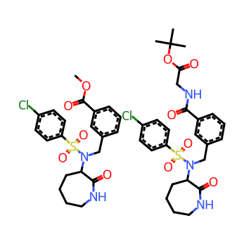 CC(C)(C)OC(=O)CNC(=O)c1cccc(CN(C2CCCCNC2=O)S(=O)(=O)c2ccc(Cl)cc2)c1.COC(=O)c1cccc(CN(C2CCCCNC2=O)S(=O)(=O)c2ccc(Cl)cc2)c1